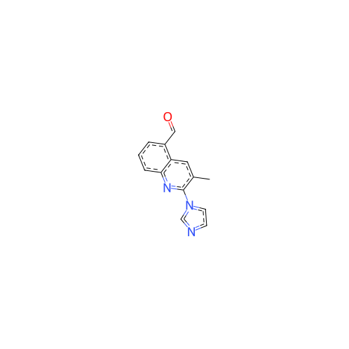 Cc1cc2c(C=O)cccc2nc1-n1ccnc1